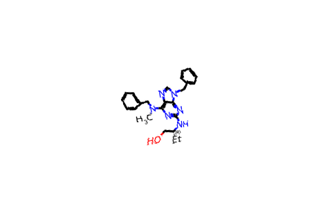 CC[C@H](CO)Nc1nc(N(C)Cc2ccccc2)c2ncn(Cc3ccccc3)c2n1